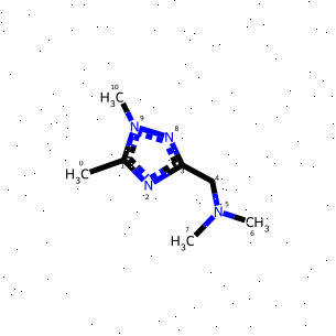 Cc1nc(CN(C)C)nn1C